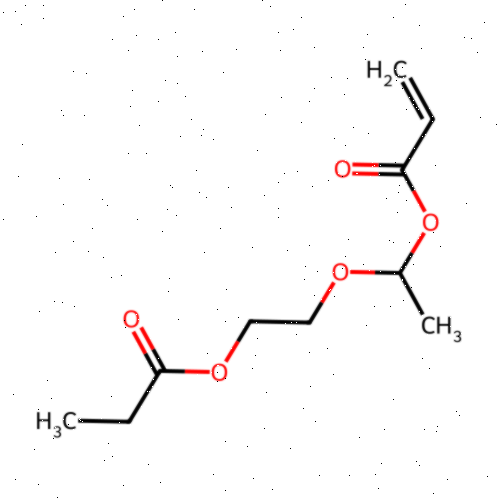 C=CC(=O)OC(C)OCCOC(=O)CC